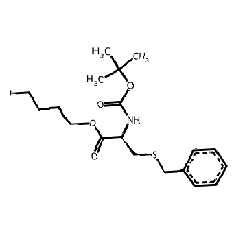 CC(C)(C)OC(=O)N[C@@H](CSCc1ccccc1)C(=O)OCCCCI